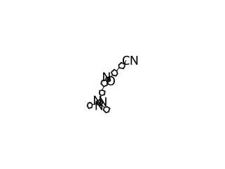 N#Cc1ccc(-c2ccc(-c3nc4ccc(-c5ccc(-c6nc(-c7ccccc7)nc(-c7ccccc7)n6)cc5)cc4o3)cc2)cc1